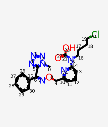 Cn1nnnc1C(=NOCc1cccc(N(CCCCCl)C(=O)O)n1)c1ccccc1